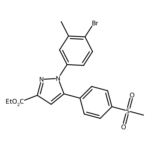 CCOC(=O)c1cc(-c2ccc(S(C)(=O)=O)cc2)n(-c2ccc(Br)c(C)c2)n1